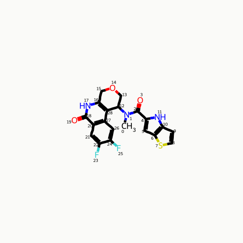 CN(C(=O)c1cc2sccc2[nH]1)C1COCc2[nH]c(=O)c3cc(F)c(F)cc3c21